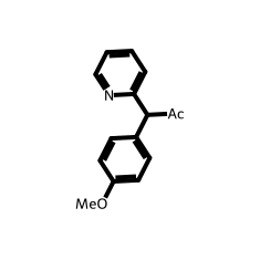 COc1ccc(C(C(C)=O)c2ccccn2)cc1